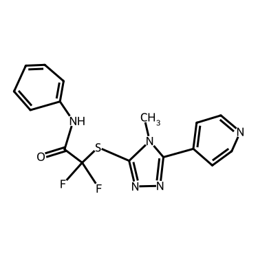 Cn1c(SC(F)(F)C(=O)Nc2ccccc2)nnc1-c1ccncc1